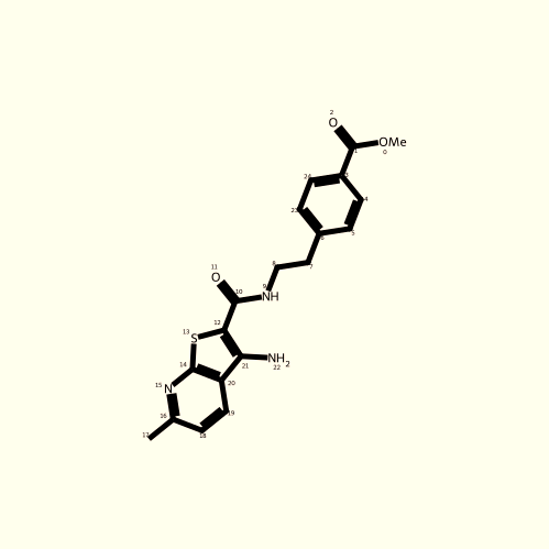 COC(=O)c1ccc(CCNC(=O)c2sc3nc(C)ccc3c2N)cc1